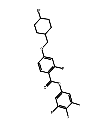 CCC1CCC(COc2ccc(C(=O)Oc3cc(F)c(F)c(F)c3)c(F)c2)CC1